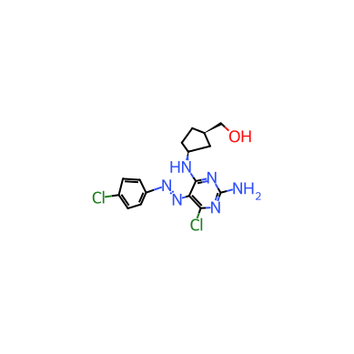 Nc1nc(Cl)c(/N=N/c2ccc(Cl)cc2)c(N[C@H]2CC[C@@H](CO)C2)n1